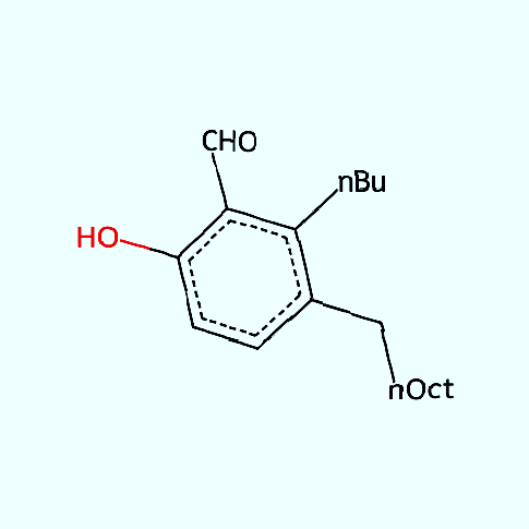 CCCCCCCCCc1ccc(O)c(C=O)c1CCCC